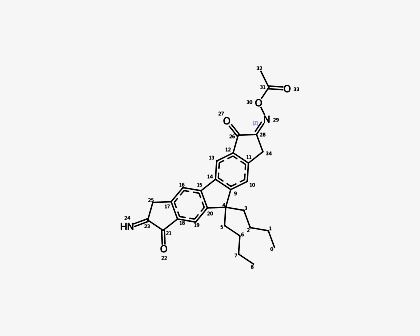 CCCCC1(CCCC)c2cc3c(cc2-c2cc4c(cc21)C(=O)C(=N)C4)C(=O)/C(=N\OC(C)=O)C3